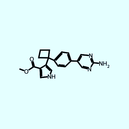 COC(=O)c1c[nH]cc1C1(c2ccc(-c3cnc(N)nc3)cc2)CCC1